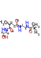 CC(C)C(=O)NCCNC(=O)CCC(C)C(=O)NCCO